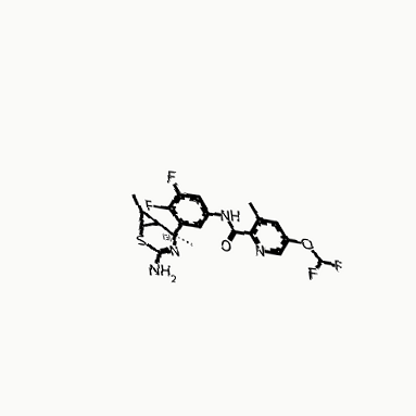 Cc1cc(OC(F)F)cnc1C(=O)Nc1cc(F)c(F)c([C@@]2(C)N=C(N)SC3C(C)C32)c1